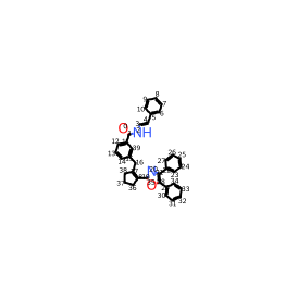 O=C(NC=Cc1ccccc1)c1cccc(CC2=C(c3nc(-c4ccccc4)c(-c4ccccc4)o3)CCC2)c1